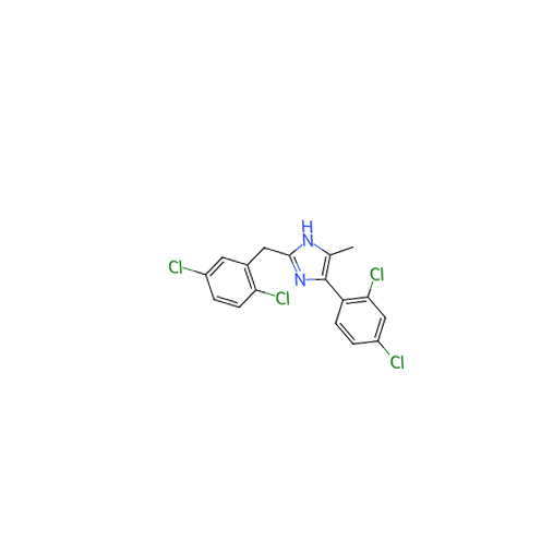 Cc1[nH]c(Cc2cc(Cl)ccc2Cl)nc1-c1ccc(Cl)cc1Cl